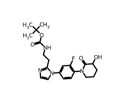 CC(C)(C)OC(=O)NCCc1nccn1-c1ccc(N2CCCC(O)C2=O)c(F)c1